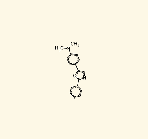 CN(C)c1ccc(-c2cnc(-c3cc[c]cc3)o2)cc1